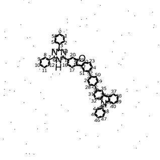 c1ccc(C2=NC(c3ccccc3)NC(c3ccc4c(c3)oc3ccc(-c5ccc(-c6ccc7c(c6)c6ccccc6n7-c6ccccc6)cc5)cc34)=N2)cc1